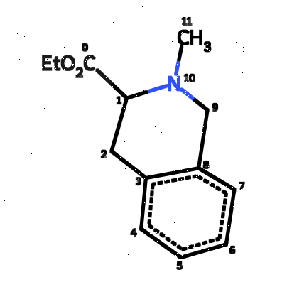 CCOC(=O)C1Cc2ccccc2CN1C